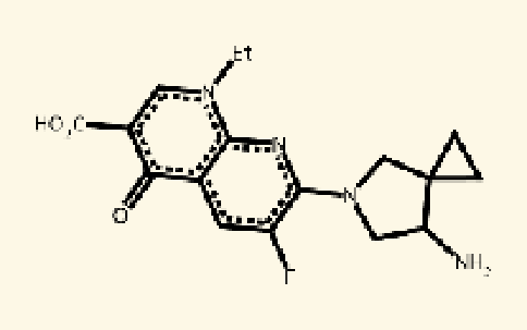 CCn1cc(C(=O)O)c(=O)c2cc(F)c(N3CC(N)C4(CC4)C3)nc21